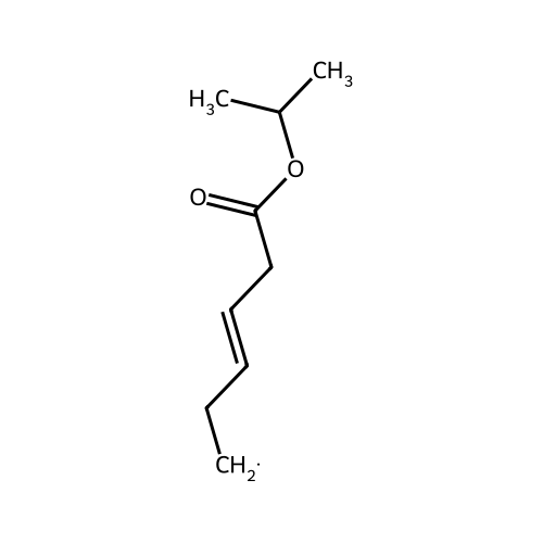 [CH2]CC=CCC(=O)OC(C)C